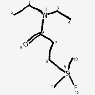 CCN(CC)C(=O)CC[Si](C)(C)F